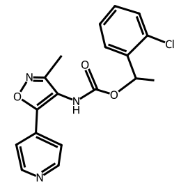 Cc1noc(-c2ccncc2)c1NC(=O)OC(C)c1ccccc1Cl